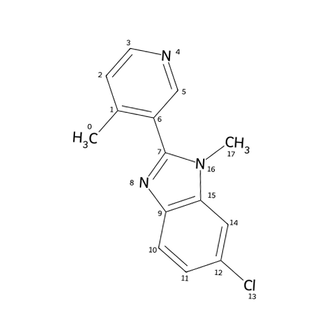 Cc1ccncc1-c1nc2ccc(Cl)cc2n1C